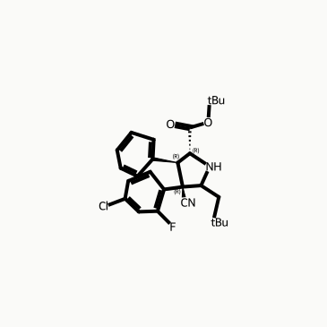 CC(C)(C)CC1N[C@@H](C(=O)OC(C)(C)C)[C@H](c2ccccc2)[C@@]1(C#N)c1ccc(Cl)cc1F